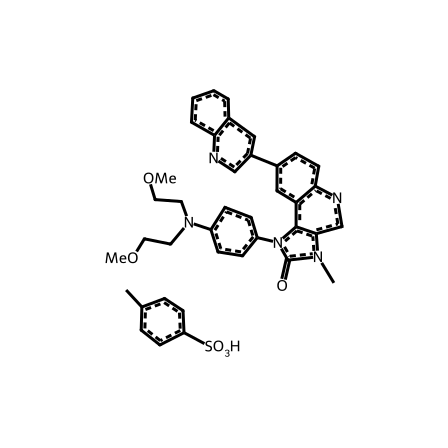 COCCN(CCOC)c1ccc(-n2c(=O)n(C)c3cnc4ccc(-c5cnc6ccccc6c5)cc4c32)cc1.Cc1ccc(S(=O)(=O)O)cc1